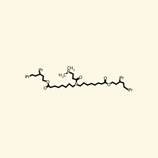 CC(C)CCC(CCOC(=O)CCCCCCCN(CCCCCCCC(=O)OCCC(CCC(C)C)C(C)C)C(=O)CCN(C)C)C(C)C